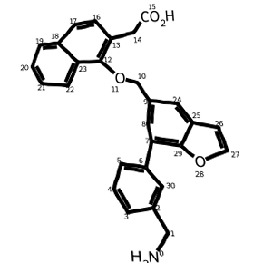 NCc1cccc(-c2cc(COc3c(CC(=O)O)ccc4ccccc34)cc3ccoc23)c1